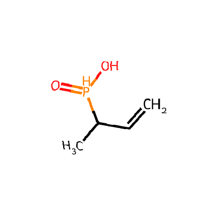 C=CC(C)[PH](=O)O